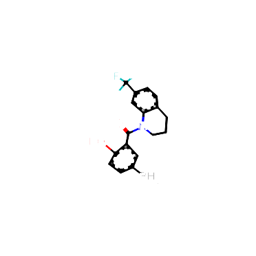 Bc1ccc(O)c(C(=O)N2CCCc3ccc(C(F)(F)F)cc32)c1